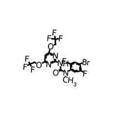 CN(C(=O)Nc1nc(OCC(F)(F)F)cc(OCC(F)(F)F)n1)c1cc(F)c(Br)cc1F